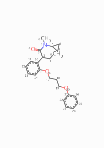 CCC(C(=O)N(C)C1CC1)c1ccccc1OCCCOc1ccccc1